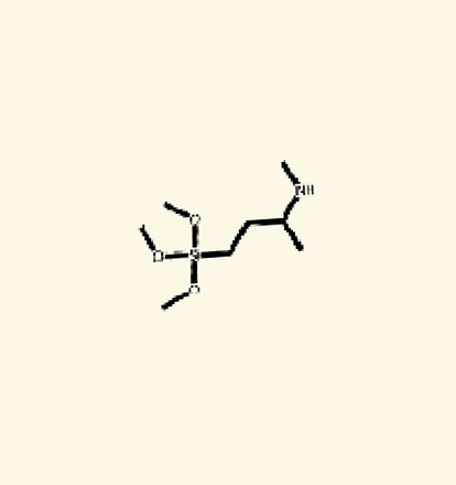 CNC(C)CC[Si](OC)(OC)OC